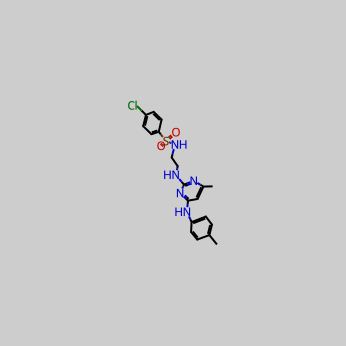 Cc1ccc(Nc2cc(C)nc(NCCNS(=O)(=O)c3ccc(Cl)cc3)n2)cc1